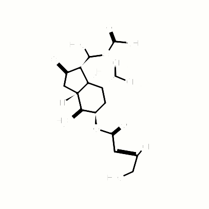 C=C1[C@H](OC(=O)/C=C(\C)CC)C[C@@H](C(C)C)[C@H]2[C@H]1CC(=O)[C@H]2C(C)OC(C)=O